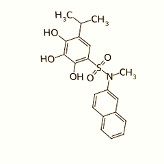 CC(C)c1cc(S(=O)(=O)N(C)c2ccc3ccccc3c2)c(O)c(O)c1O